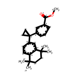 COC(=O)c1cccc(C2(c3ccc4c(c3)C(C)(C)CCC4(C)C)CC2)c1